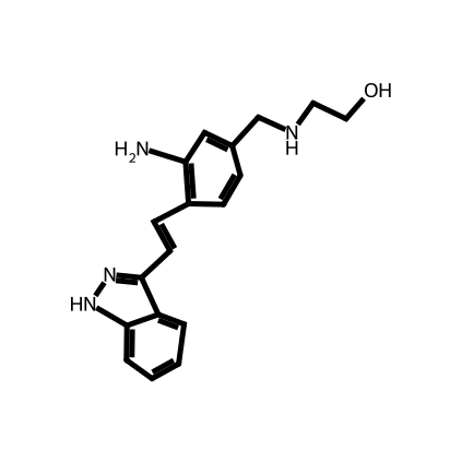 Nc1cc(CNCCO)ccc1C=Cc1n[nH]c2ccccc12